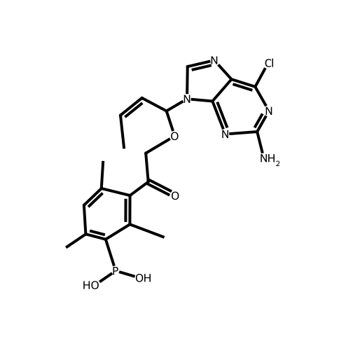 C/C=C\C(OCC(=O)c1c(C)cc(C)c(P(O)O)c1C)n1cnc2c(Cl)nc(N)nc21